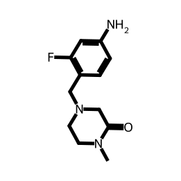 CN1CCN(Cc2ccc(N)cc2F)CC1=O